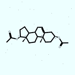 CC(=O)O[C@H]1CC[C@@]2(C)C(=CCC3C2CC[C@@]2(C)C3CC[C@@H]2OC(C)=O)C1